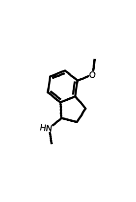 CNC1CCc2c(OC)cccc21